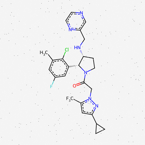 Cc1cc(F)cc([C@@H]2[C@H](NCc3cnccn3)CCN2C(=O)Cn2nc(C3CC3)cc2C(F)(F)F)c1Cl